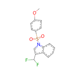 COc1ccc(S(=O)(=O)n2cc(C(F)F)c3ccccc32)cc1